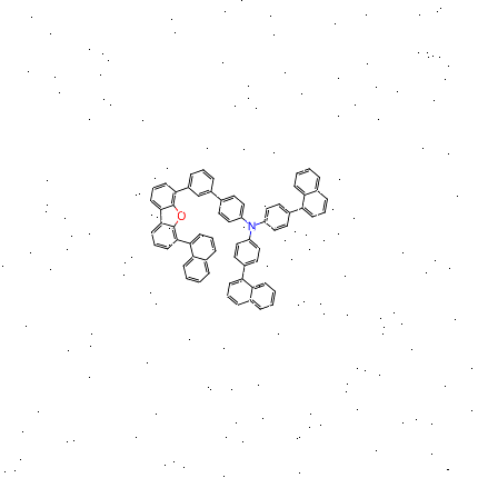 c1cc(-c2ccc(N(c3ccc(-c4cccc5ccccc45)cc3)c3ccc(-c4cccc5ccccc45)cc3)cc2)cc(-c2cccc3c2oc2c(-c4cccc5ccccc45)cccc23)c1